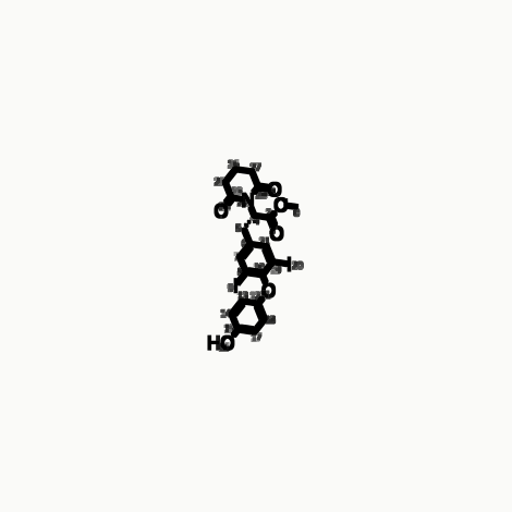 COC(=O)[C@H](Cc1cc(I)c(Oc2ccc(O)cc2)c(I)c1)N1C(=O)CCCC1=O